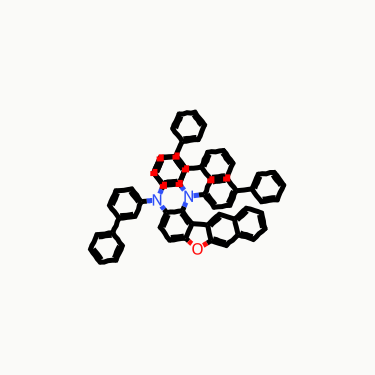 c1ccc(-c2ccc(N(c3cccc(-c4ccccc4)c3)c3ccc4oc5cc6ccccc6cc5c4c3N(c3ccc(-c4ccccc4)cc3)c3ccccc3-c3ccccc3)cc2)cc1